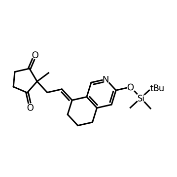 CC1(CC=C2CCCc3cc(O[Si](C)(C)C(C)(C)C)ncc32)C(=O)CCC1=O